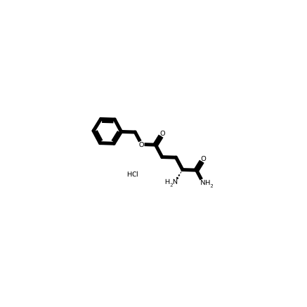 Cl.NC(=O)[C@H](N)CCC(=O)OCc1ccccc1